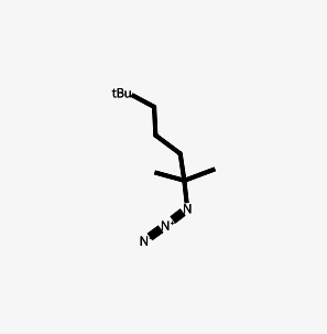 CC(C)(C)CCCC(C)(C)N=[N+]=[N-]